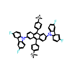 C[Si](C)(C)c1ccc(-c2c3ccc(-n4c5ccc(F)cc5c5cc(F)ccc54)cc3c(-c3ccc([Si](C)(C)C)cc3)c3ccc(-n4c5ccc(F)cc5c5cc(F)ccc54)cc23)cc1